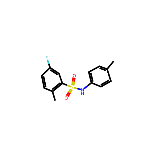 [CH2]c1ccc(NS(=O)(=O)c2cc(F)ccc2C)cc1